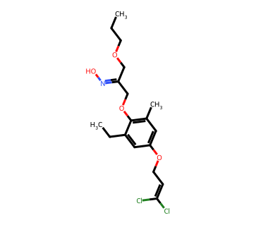 CCCOCC(COc1c(C)cc(OCC=C(Cl)Cl)cc1CC)=NO